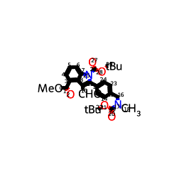 COC(=O)c1cccc2c1c(C=O)c(-c1ccc(CN(C)C(=O)OC(C)(C)C)cc1)n2C(=O)OC(C)(C)C